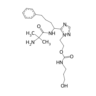 CC(C)(N)C(=O)NC(CCCc1ccccc1)c1ncnn1CCOC(=O)NCCCO